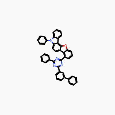 c1ccc(-c2cccc(-c3nc(-c4ccccc4)nc(-c4cccc5oc6c(ccc7c6c6ccccc6n7-c6ccccc6)c45)n3)c2)cc1